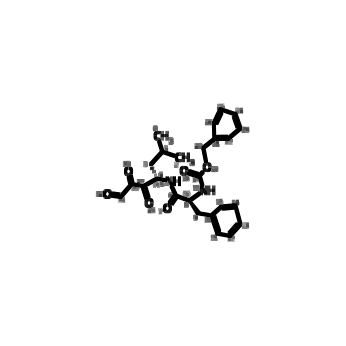 CC(C)C[C@H](NC(=O)[C@H](Cc1ccccc1)NC(=O)OCc1ccccc1)C(=O)C(=O)C=O